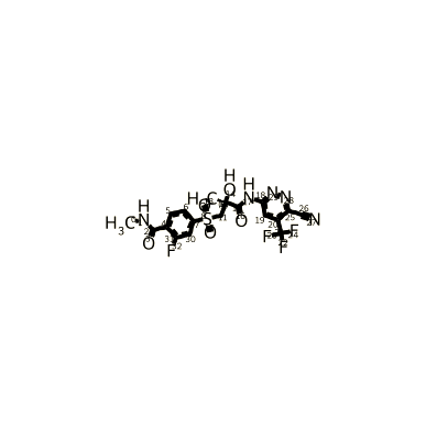 CNC(=O)c1ccc(S(=O)(=O)C[C@](C)(O)C(=O)Nc2cc(C(F)(F)F)c(C#N)nn2)cc1F